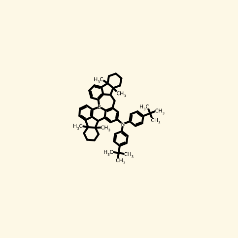 CC(C)(C)c1ccc(N(c2ccc(C(C)(C)C)cc2)c2cc3c4c(c2)C2c5c(cccc5C5(C)CCCCC25C)B4c2cccc4c2C(C3)C2(C)CCCCC42C)cc1